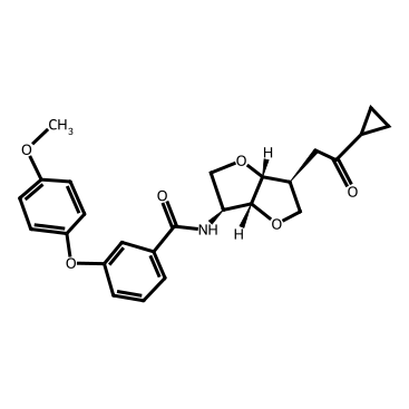 COc1ccc(Oc2cccc(C(=O)N[C@H]3CO[C@@H]4[C@@H](CC(=O)C5CC5)CO[C@@H]43)c2)cc1